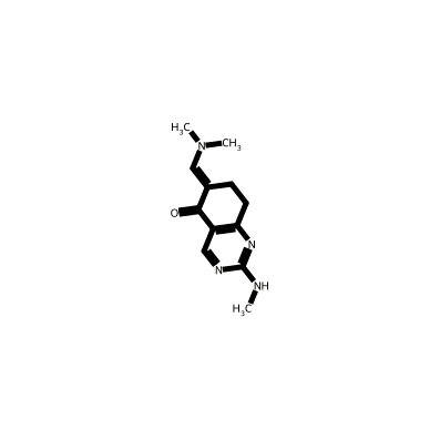 CNc1ncc2c(n1)CCC(=CN(C)C)C2=O